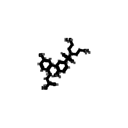 CCCN(CCC)S(=O)(=O)c1ccc(C)c(-c2cc(Cl)ccc2OCC(=O)O)c1